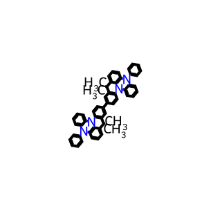 CC1(C)c2cc(-c3ccc4c(c3)C(C)(C)c3cccc5c3N4c3ccccc3N5c3ccccc3)ccc2N2c3ccccc3N(c3ccccc3)c3cccc1c32